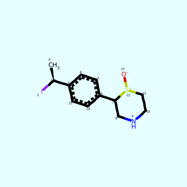 C[C@H](I)c1ccc(C2CNCC[S+]2[O-])cc1